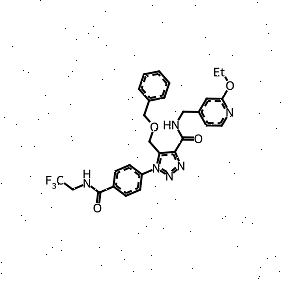 CCOc1cc(CNC(=O)c2nnn(-c3ccc(C(=O)NCC(F)(F)F)cc3)c2COCc2ccccc2)ccn1